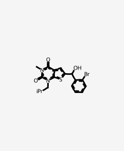 CC(C)Cn1c(=O)n(C)c(=O)c2cc(C(O)c3ccccc3Br)sc21